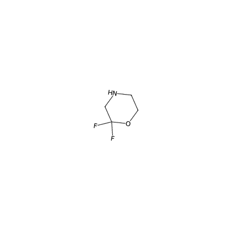 FC1(F)CNCCO1